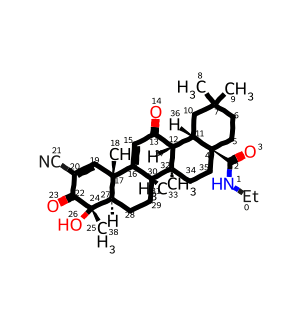 CCNC(=O)[C@]12CCC(C)(C)C[C@H]1[C@H]1C(=O)C=C3[C@@]4(C)C=C(C#N)C(=O)[C@@](C)(O)[C@@H]4CC[C@@]3(C)[C@]1(C)CC2